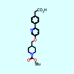 CC(C)(C)OC(=O)N1CCC(COc2ccc(-c3ccc(CC(=O)O)cc3)nc2)CC1